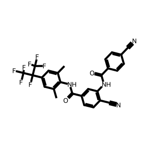 Cc1cc(C(F)(C(F)(F)F)C(F)(F)F)cc(C)c1NC(=O)c1ccc(C#N)c(NC(=O)c2ccc(C#N)cc2)c1